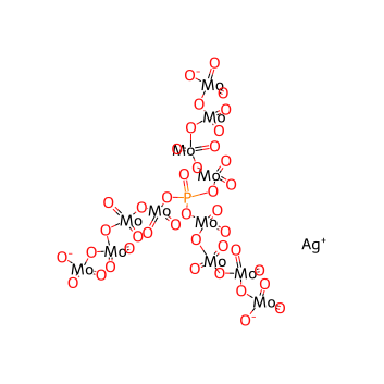 O=P([O][Mo](=[O])(=[O])[O][Mo](=[O])(=[O])[O][Mo](=[O])(=[O])[O][Mo](=[O])(=[O])[O-])([O][Mo](=[O])(=[O])[O][Mo](=[O])(=[O])[O][Mo](=[O])(=[O])[O][Mo](=[O])(=[O])[O-])[O][Mo](=[O])(=[O])[O][Mo](=[O])(=[O])[O][Mo](=[O])(=[O])[O][Mo](=[O])(=[O])[O-].[Ag+]